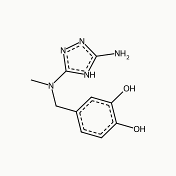 CN(Cc1ccc(O)c(O)c1)c1nnc(N)[nH]1